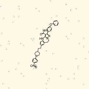 NC(=O)c1c(-c2ccc(Oc3ccccc3)cc2)nn2c1Nc1ccc(CCC3CCN(c4ccc([N+](=O)[O-])cc4)CC3)cc1CC2